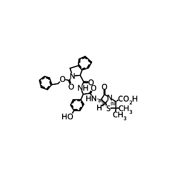 CC1(C)S[C@@H]2[C@H](NC(=O)C(NC(=O)C3c4ccccc4CN3C(=O)OCc3ccccc3)c3ccc(O)cc3)C(=O)N2[C@H]1C(=O)O